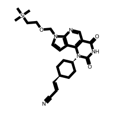 C[Si](C)(C)CCOCn1ccc2c1ncc1c(=O)[nH]c(=O)n([C@H]3CC[C@H](/C=C/C#N)CC3)c12